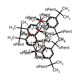 CCCCCC(C)(C)c1cc(C(C)(C)CCCCC)c([SiH](O[SiH](c2c(C(C)(C)CCCCC)cc(C(C)(C)CCCCC)cc2C(C)(C)CCCCC)c2c(C(C)(C)CCCCC)cc(C(C)(C)CCCCC)cc2C(C)(C)CCCCC)c2c(C(C)(C)CCCCC)cc(C(C)(C)CCCCC)cc2C(C)(C)CCCCC)c(C(C)(C)CCCCC)c1